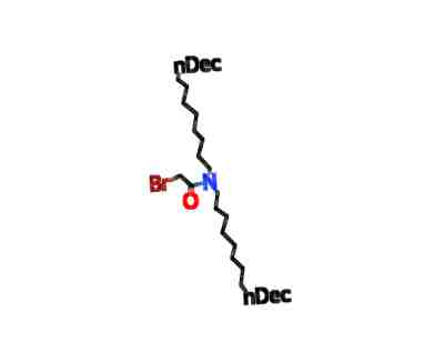 CCCCCCCCCCCCCCCCCCN(CCCCCCCCCCCCCCCCCC)C(=O)CBr